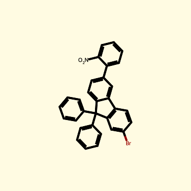 O=[N+]([O-])c1ccccc1-c1ccc2c(c1)-c1ccc(Br)cc1C2(c1ccccc1)c1ccccc1